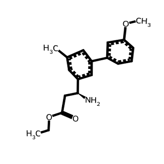 CCOC(=O)C[C@H](N)c1cc(C)cc(-c2cccc(OC)c2)c1